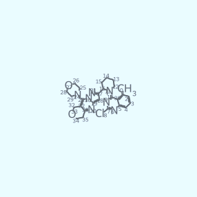 Cc1cccc2nc(Cl)nc(N3CCCCC3c3cc4nc5c(c(N6CCOCC6)n4n3)COCC5)c12